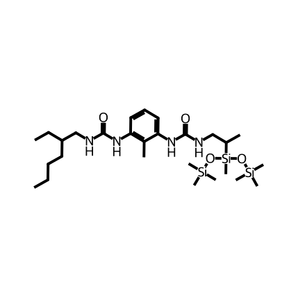 CCCCC(CC)CNC(=O)Nc1cccc(NC(=O)NCC(C)[Si](C)(O[Si](C)(C)C)O[Si](C)(C)C)c1C